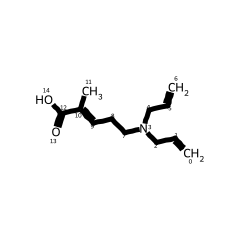 C=CCN(CC=C)CC/C=C(\C)C(=O)O